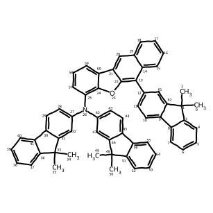 CC1(C)c2ccccc2-c2ccc(-c3c4ccccc4cc4c3oc3c(N(c5ccc6c(c5)C(C)(C)c5ccccc5-6)c5ccc6c(c5)C(C)(C)c5ccccc5-6)cccc34)cc21